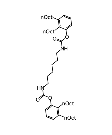 CCCCCCCCc1cccc(OC(=O)NCCCCCCNC(=O)Oc2cccc(CCCCCCCC)c2CCCCCCCC)c1CCCCCCCC